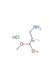 COC(OC)[C@@H](C)CN.Cl